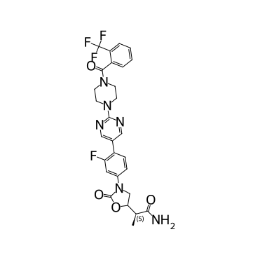 C[C@H](C(N)=O)C1CN(c2ccc(-c3cnc(N4CCN(C(=O)c5ccccc5C(F)(F)F)CC4)nc3)c(F)c2)C(=O)O1